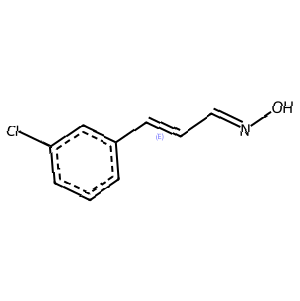 ON=C/C=C/c1cccc(Cl)c1